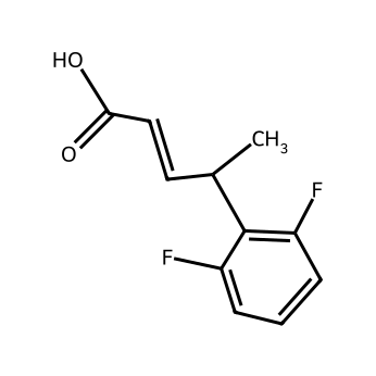 CC(C=CC(=O)O)c1c(F)cccc1F